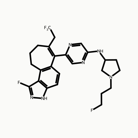 FCCCN1CCC(Nc2cnc(C3=C(CC(F)(F)F)CCCc4c3ccc3[nH]nc(F)c43)cn2)C1